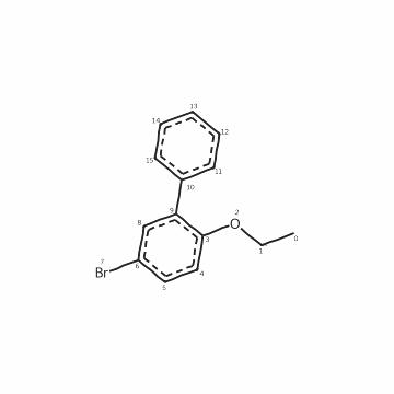 C[CH]Oc1ccc(Br)cc1-c1ccccc1